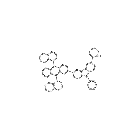 C1=CCNC(c2cc3c4cc(-c5ccc6c(-c7cccc8ccccc78)c7ccccc7c(-c7cccc8ccccc78)c6c5)ccc4n(-c4ccccc4)c3cn2)=C1